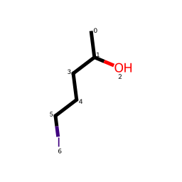 CC(O)CCCI